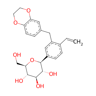 C=Cc1ccc([C@@H]2O[C@H](CO)[C@@H](O)[C@H](O)[C@H]2O)cc1Cc1ccc2c(c1)OCCO2